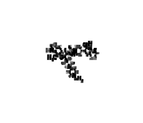 Cc1cc(C[C@@H](NC(=S)N2CCC(c3cc4c([nH]c3=O)SCCC4)CC2)C(=O)N2CCN(C3CCN(C)CC3)CC2)cc2cn[nH]c12